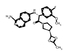 COc1cc([C@@H](Nc2ccc3c(N)nccc3c2)C(=O)N2CC[C@@H](C3OC(C)O3)C2)ccc1F